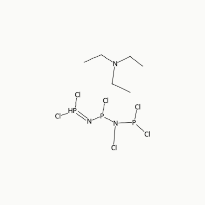 CCN(CC)CC.ClN(P(Cl)Cl)P(Cl)N=[PH](Cl)Cl